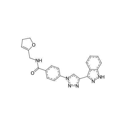 O=C(NCC1=CCCO1)c1ccc(-n2cc(-c3n[nH]c4ccccc34)nn2)cc1